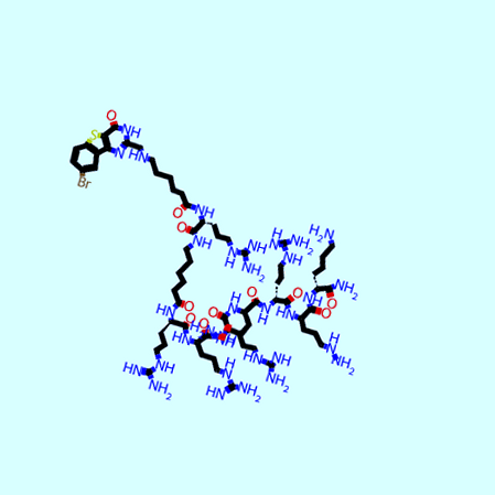 N=C(N)NCCCC(NC(=O)[C@@H](CCCNC(=N)N)NC(=O)CCCCCNC(=O)[C@@H](CCCNC(=N)N)NC(=O)CCCCCNCc1nc2c(sc3ccc(Br)cc32)c(=O)[nH]1)C(=O)N[C@H](CCCNC(=N)N)C(=O)NC(CCCNN)C(=O)N[C@H](CCCNC(=N)N)C(=O)NC(CCCNN)C(=O)N[C@H](CCCCN)C(N)=O